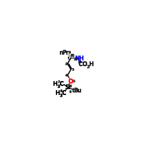 CCC[C@@H](C=CCO[Si](C)(C)C(C)(C)C)NC(=O)O